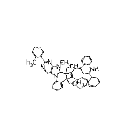 CCC12C(C3=CCCC=C3)=C(CC(CC(=N)C3C=CC=CC3)c3ccccc3)C1(CC)C1N(C)c3nc(C4=CCCC=C4C)ncc3N1c1ccccc12